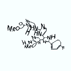 COCC(=O)N[C@@H](C)CNC1N=CC=C(c2[nH]c(C3=CC=C(F)CC3)nc2-c2cnc(N)c(OC)n2)N1